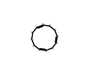 [CH]1C=CCC=CCCCC=CC1